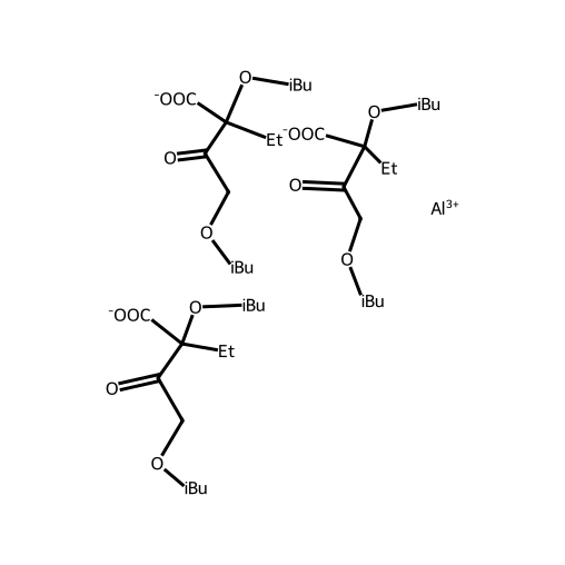 CCC(C)OCC(=O)C(CC)(OC(C)CC)C(=O)[O-].CCC(C)OCC(=O)C(CC)(OC(C)CC)C(=O)[O-].CCC(C)OCC(=O)C(CC)(OC(C)CC)C(=O)[O-].[Al+3]